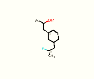 CC(=O)C(O)C[C@H]1CCCC(C[C@H](C)F)C1